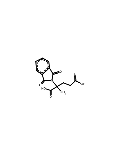 NC(CCC(=O)O)(C(=O)O)N1C(=O)c2ccccc2C1=O